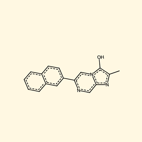 Cc1nc2cnc(-c3ccc4ccccc4c3)cn2c1O